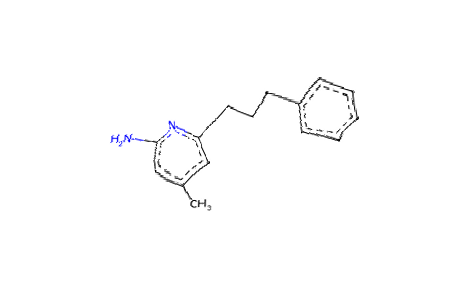 Cc1cc(N)nc(CCCc2ccccc2)c1